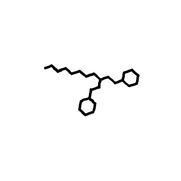 CCCCCCCCC(CCC1CCCCC1)CCC1CCCCC1